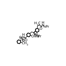 CCCNC(=O)C(C)Cc1ccc2c(c1)c(Cc1ccc(C(=O)NS(=O)(=O)c3ccccc3C)cc1OC)cn2C(C)C